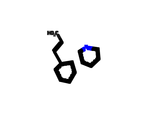 O=C(O)/C=C/c1ccccc1.c1ccncc1